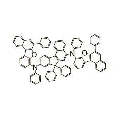 c1ccc(-c2cc3ccccc3c3c2oc2c(N(c4ccccc4)c4ccc5c(c4)C(c4ccccc4)(c4ccccc4)c4cc(N(c6ccccc6)c6cccc7c6oc6c(-c8ccccc8)cc8ccccc8c67)c6ccccc6c4-5)cccc23)cc1